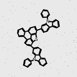 c1ccc(-n2c3ccccc3c3ccc(-c4ccc5c6ccccc6c6ccc(-c7ccc8c9ccccc9n(-c9ccccc9)c8c7)c7sc4c5c76)cc32)cc1